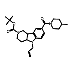 C=CCN1c2ccc(C(=O)N3CCC(C)CC3)cc2C2CN(C(=O)OC(C)(C)C)CCC21